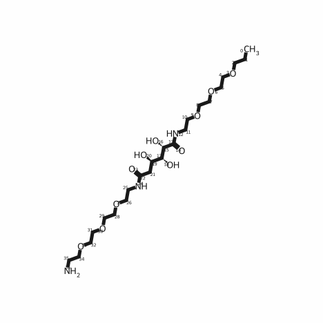 CCCOCCOCCOCCNC(=O)[C@@H](O)[C@H](O)[C@H](O)CC(=O)NCCOCCOCCOCCN